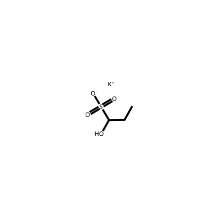 CCC(O)S(=O)(=O)[O-].[K+]